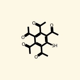 CC(=O)c1c(S)c(C(C)=O)c(C(C)=O)c(C(C)=O)c1C(C)=O